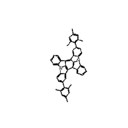 Cc1cc(C)c(-c2ccc3c(c2)c2c4c5ccccc5n5c6ccc(-c7c(C)cc(C)cc7C)cc6c(c6c7ccccc7n3c62)c45)c(C)c1